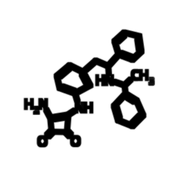 CC(NC(Cc1cccc(Nc2c(N)c(=O)c2=O)c1)c1ccccc1)c1ccccc1